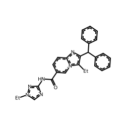 CCc1c(C(c2ccccc2)c2ccccc2)nc2ccc(C(=O)Nc3ncn(CC)n3)cn12